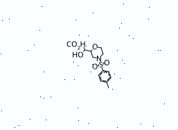 Cc1ccc(S(=O)(=O)N2CCOC(C(O)C(=O)O)C2)cc1